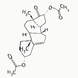 CC(=O)O[C@@H]1CC[C@@]2(C)C(=CC[C@@H]3[C@@H]2CC[C@]2(C)C(=O)[C@H](OC(C)=O)C[C@@H]32)C1